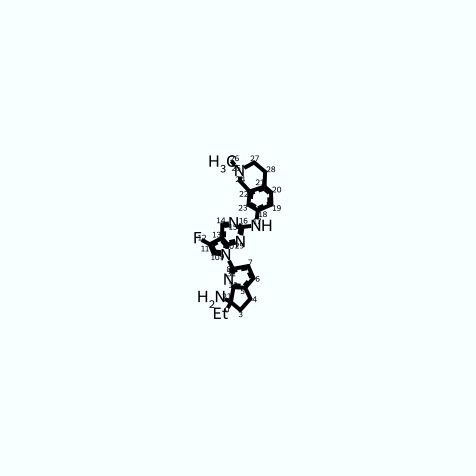 CCC1(N)CCc2ccc(-n3cc(F)c4cnc(Nc5ccc6c(c5)CN(C)CC6)nc43)nc21